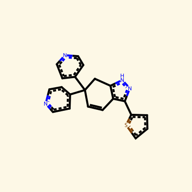 C1=CC(c2ccncc2)(c2ccncc2)Cc2[nH]nc(-c3cccs3)c21